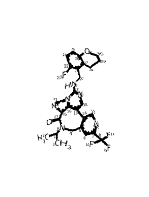 CC(C)N1Cc2cc(C(F)(F)F)ncc2-c2cnc(NCc3c(F)ccc4c3CCCO4)n3cnc(c23)C1=O